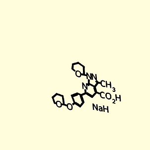 Cc1nn(C2CCCCO2)c2nc(-c3ccc(OC4CCCCO4)cc3)cc(C(=O)O)c12.[NaH]